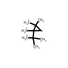 CC(C)(C)C1(N)CC1(C)C